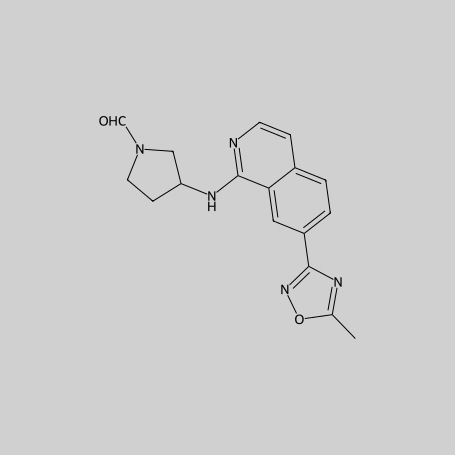 Cc1nc(-c2ccc3ccnc(NC4CCN(C=O)C4)c3c2)no1